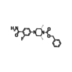 C[C@@H]1CN(c2ccc(C(N)=O)c(F)c2)C[C@H](C)N1C(=O)OCc1ccccc1